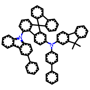 CC1(C)c2ccccc2-c2ccc(N(c3ccc(-c4ccccc4)cc3)c3ccc4c(c3)C3(c5ccccc5-c5ccccc53)c3cccc(-n5c6ccccc6c6cc(-c7ccccc7)ccc65)c3-4)cc21